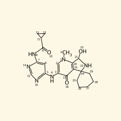 Cn1cc(Nc2cc(NC(=O)C3CC3)ncn2)c(=O)c2c1C(O)NC21CCCCC1